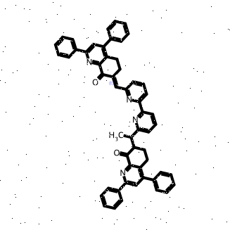 CC(c1cccc(-c2cccc(/C=C3\CCc4c(-c5ccccc5)cc(-c5ccccc5)nc4C3=O)n2)n1)C1CCc2c(-c3ccccc3)cc(-c3ccccc3)nc2C1=O